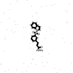 CNC(=O)/C=C/c1cccc(S(=O)(=O)n2ccc3ccccc32)c1